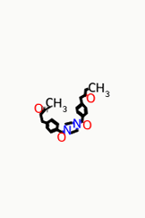 CCC(=O)Cc1ccc(C(=O)N2CCN(C(=O)c3ccc(CC4O[C@H]4CC)cc3)CC2)cc1